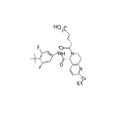 CCOc1ccc2c(n1)CCN(C(=O)CCCC(=O)O)[C@H]2C(=O)Nc1cc(F)c(S(C)(C)C)c(F)c1